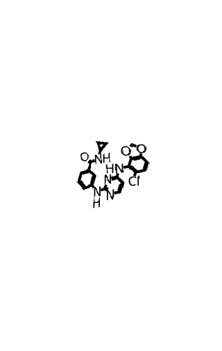 O=C(NC1CC1)c1cccc(Nc2nccc(Nc3c(Cl)ccc4c3OCO4)n2)c1